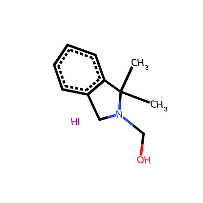 CC1(C)c2ccccc2CN1CO.I